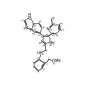 COCc1ccccc1NCc1nc(C2=CN3N=CNC3C=C2)c(-c2cccc(C)n2)[nH]1